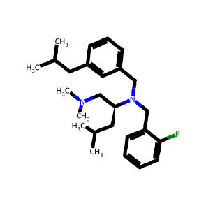 CC(C)Cc1cccc(CN(Cc2ccccc2F)[C@@H](CC(C)C)CN(C)C)c1